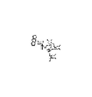 C=CC[Si](CC=C)(CC=C)CCC[Si](CCCCNC(=O)OCc1c2ccccc2cc2ccccc12)(CCC[Si](CC=C)(CC=C)CC=C)CCC[Si](CC=C)(CC=C)CC=C